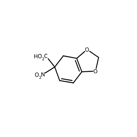 O=C(O)C1([N+](=O)[O-])C=CC2=C(C1)OCO2